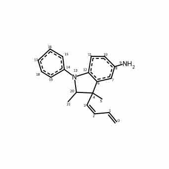 C=C/C=C\C1(C)c2cc(N)ccc2N(c2ccccc2)C1C